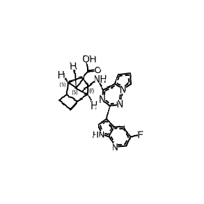 O=C(O)[C@@H]1C(Nc2nc(-c3c[nH]c4ncc(F)cc34)nn3cccc23)[C@@H]2CC[C@H]1C1CCC12